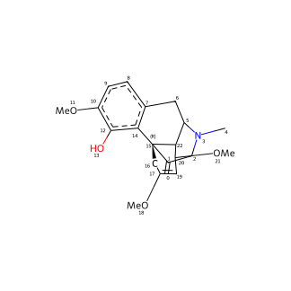 C=C1CN(C)C2Cc3ccc(OC)c(O)c3[C@@]13CC(OC)=CC(OC)C23